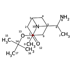 CC1CC2CC(C(C)N)(C1)N2C(=O)OC(C)(C)C